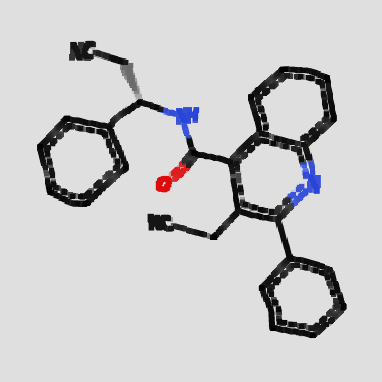 N#CCc1c(-c2ccccc2)nc2ccccc2c1C(=O)N[C@@H](CC#N)c1ccccc1